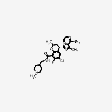 Cc1nc([C@H]2CC(C)Oc3c2cc(Cl)c(F)c3C(=O)NCC2CCN(C)CC2)n2ccnc(N)c12